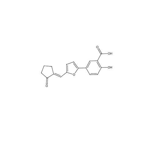 O=C1CCC/C1=C\c1ccc(-c2ccc(O)c(C(=O)O)c2)o1